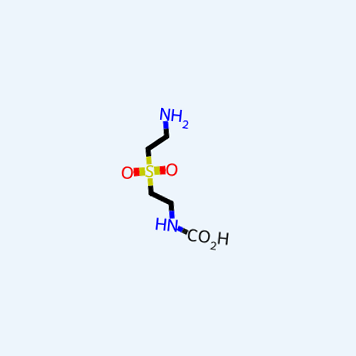 NCCS(=O)(=O)CCNC(=O)O